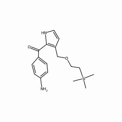 C[Si](C)(C)CCOCc1cc[nH]c1C(=O)c1ccc(N)cc1